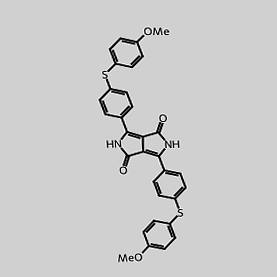 COc1ccc(Sc2ccc(C3=C4C(=O)NC(c5ccc(Sc6ccc(OC)cc6)cc5)=C4C(=O)N3)cc2)cc1